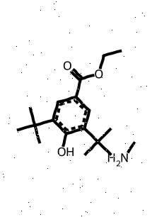 CCOC(=O)c1cc(C(C)(C)C)c(O)c(C(C)(C)C)c1.CN